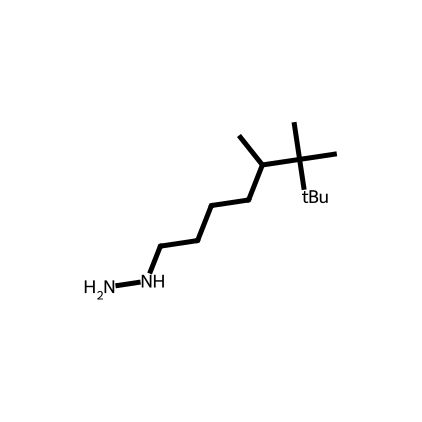 CC(CCCCNN)C(C)(C)C(C)(C)C